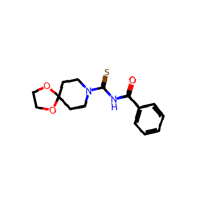 O=C(NC(=S)N1CCC2(CC1)OCCO2)c1ccccc1